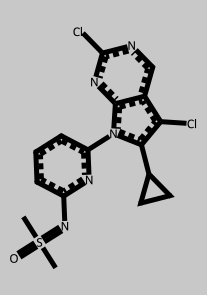 CS(C)(=O)=Nc1cccc(-n2c(C3CC3)c(Cl)c3cnc(Cl)nc32)n1